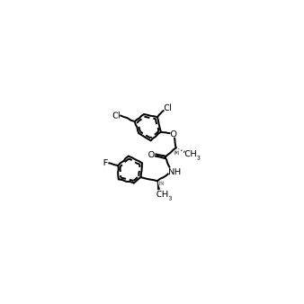 C[C@H](NC(=O)[C@@H](C)Oc1ccc(Cl)cc1Cl)c1ccc(F)cc1